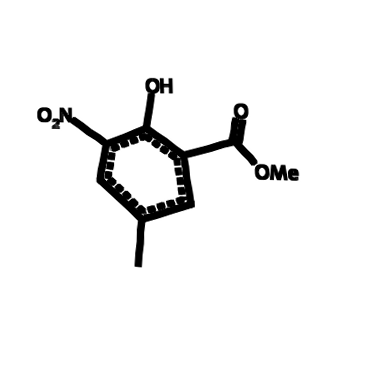 COC(=O)c1cc(C)cc([N+](=O)[O-])c1O